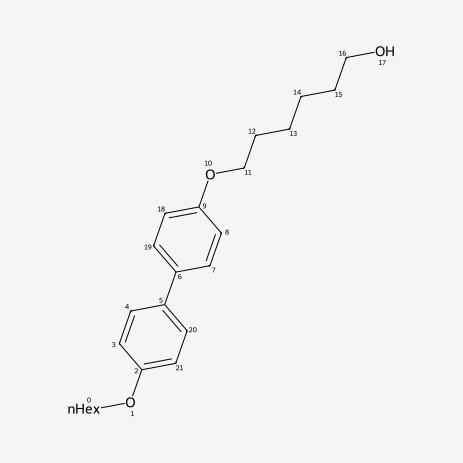 CCCCCCOc1ccc(-c2ccc(OCCCCCCO)cc2)cc1